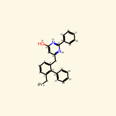 CC(C)Cc1cccc(Cc2cc(O)nc(-c3ccccc3)n2)c1-c1ccccc1